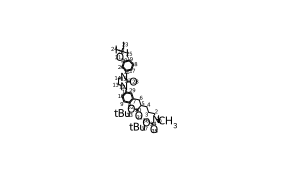 CN(CCCC(Cc1cccc(N2CCN(c3cccc(OC(I)(I)I)c3)C2=O)c1)C(=O)OC(C)(C)C)C(=O)OC(C)(C)C